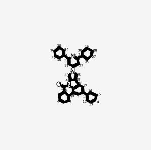 O=c1c2ccccc2c2cc(-c3ccccc3)cc3c4cn(-c5cc(-c6ccccc6)nc(-c6ccccc6)c5)cc4n1c23